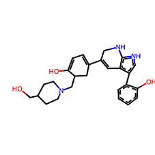 OCC1CCN(CC2CC(C3=Cc4c(-c5ccccc5O)c[nH]c4NC3)=CC=C2O)CC1